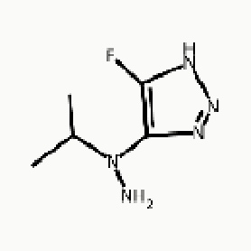 CC(C)N(N)c1nn[nH]c1F